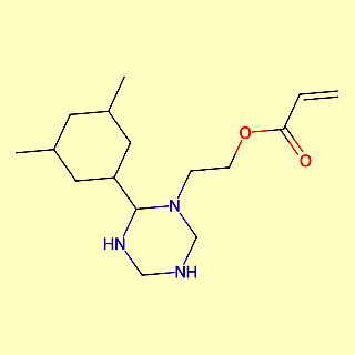 C=CC(=O)OCCN1CNCNC1C1CC(C)CC(C)C1